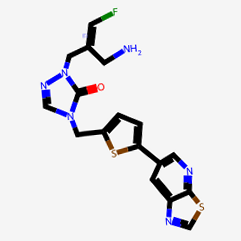 NC/C(=C\F)Cn1ncn(Cc2ccc(-c3cnc4scnc4c3)s2)c1=O